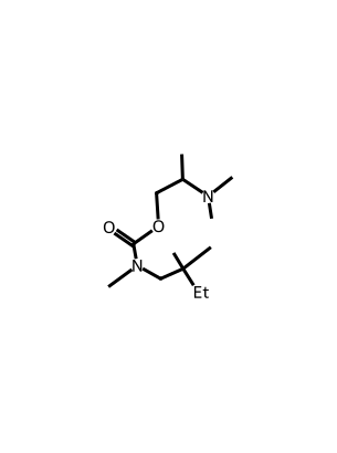 CCC(C)(C)CN(C)C(=O)OCC(C)N(C)C